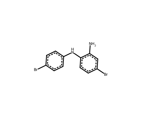 Nc1cc(Br)ccc1Nc1ccc(Br)cc1